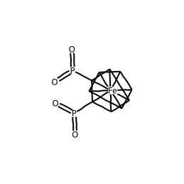 O=P(=O)[C]12[CH]3[CH]4[CH]5[C]1(P(=O)=O)[Fe]43521678[CH]2[CH]1[CH]6[CH]7[CH]28